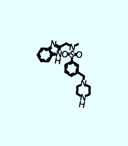 CN(Cc1nc2ccccc2[nH]1)S(=O)(=O)c1cccc(CN2CCNCC2)c1